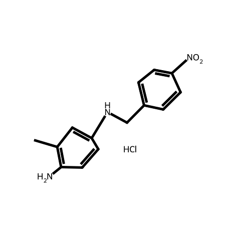 Cc1cc(NCc2ccc([N+](=O)[O-])cc2)ccc1N.Cl